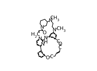 C=CC(=O)N1CCCC(N(C)CCN(C)c2cc3cc(c2)Nc2nccc(n2)-c2cccc(c2)OCC/C=C/COC3)C1